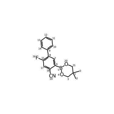 CC1(C)COB(c2cc(-c3ccccc3)c(F)cc2C#N)OC1